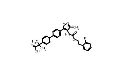 Cc1noc(-c2ccc(-c3ccc(C(C)(C)C(=O)O)cc3)cc2)c1NC(=O)OCCc1ccccc1F